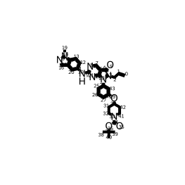 C=CCn1c(=O)c2cnc(Nc3ccc4c(cnn4C)c3)nc2n1-c1cccc(OC2CCN(C(=O)OC(C)(C)C)CC2)c1